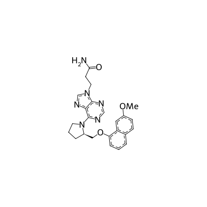 COc1ccc2cccc(OC[C@H]3CCCN3c3ncnc4c3ncn4CCC(N)=O)c2c1